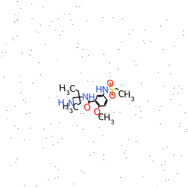 CCC(CC)(CN)NC(=O)c1cc(NS(=O)(=O)CC)ccc1OC